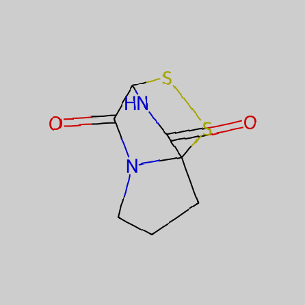 O=C1C2NC(=O)C3(CCCN13)SS2